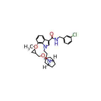 COc1cccc2c(C(=O)NCc3cccc(Cl)c3)cn(CCCN3[C@@H]4CC[C@H]3C[C@@H](OCC3CC3)C4)c12